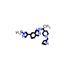 C=C(Nc1cc2cc(-c3cnn(C)c3)ccc2cn1)C1CCN(CC2=NC=CC2)CC1